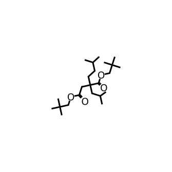 CC(C)CCC(CC(=O)OCC(C)(C)C)(CC(C)C)C(=O)OCC(C)(C)C